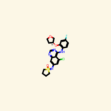 O=S1(=Nc2cc(Cl)c3c(Nc4ccc(F)cc4O[C@H]4CCOC4)ncnc3c2)CCCC1